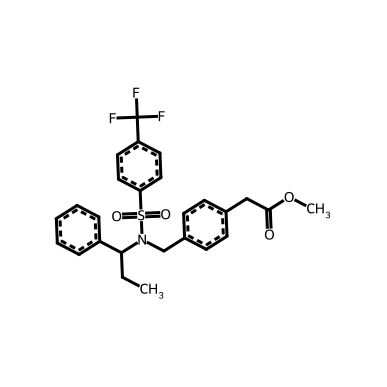 CCC(c1ccccc1)N(Cc1ccc(CC(=O)OC)cc1)S(=O)(=O)c1ccc(C(F)(F)F)cc1